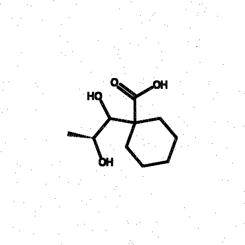 C[C@@H](O)C(O)C1(C(=O)O)CCCCC1